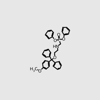 COc1ccc(C(OCCNCP(=O)(Oc2ccccc2)Oc2ccccc2)(c2ccccc2)c2ccccc2)cc1